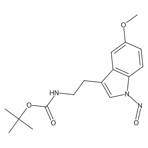 COc1ccc2c(c1)c(CCNC(=O)OC(C)(C)C)cn2N=O